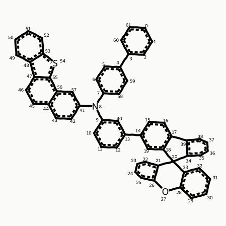 c1ccc(-c2ccc(N(c3cccc(-c4ccc5c(c4)C4(c6ccccc6Oc6ccccc64)c4ccccc4-5)c3)c3ccc4ccc5c6ccccc6sc5c4c3)cc2)cc1